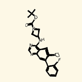 CC(C)(C)OC(=O)N1CC(Nc2ncnc3cc(-c4ccccc4F)c(Cl)cc23)C1